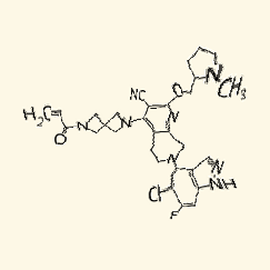 C=CC(=O)N1CC2(C1)CN(c1c(C#N)c(OCC3CCCN3C)nc3c1CCN(c1c(Cl)c(F)cc4[nH]ncc14)C3)C2